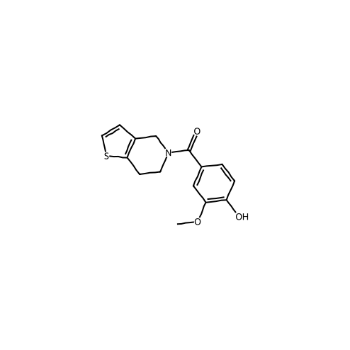 COc1cc(C(=O)N2CCc3sccc3C2)ccc1O